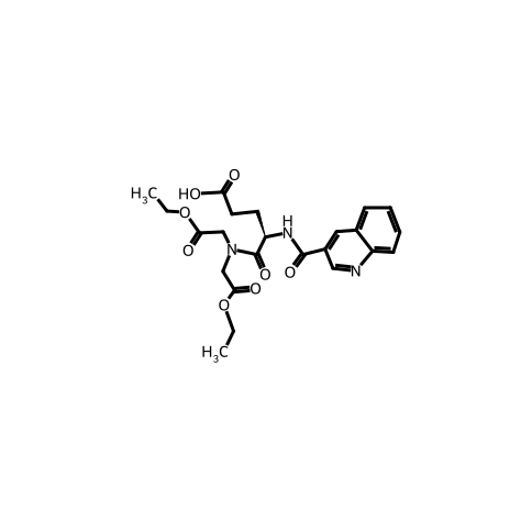 CCOC(=O)CN(CC(=O)OCC)C(=O)[C@@H](CCC(=O)O)NC(=O)c1cnc2ccccc2c1